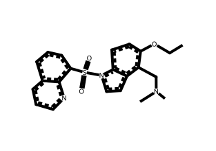 CCOc1ccc2c(ccn2S(=O)(=O)c2cccc3cccnc23)c1CN(C)C